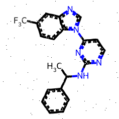 CC(Nc1nccc(-n2cnc3cc(C(F)(F)F)ccc32)n1)c1ccccc1